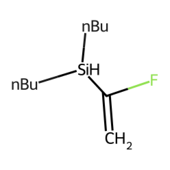 C=C(F)[SiH](CCCC)CCCC